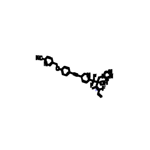 C=C/C(F)=C(\C)C(O)(Cn1cnnn1)C(F)(F)C1=NCC(C#Cc2ccc(OCc3ccc(C#N)nc3)cc2)C=C1